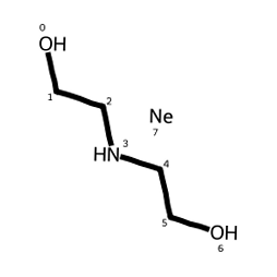 OCCNCCO.[Ne]